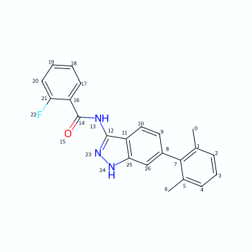 Cc1cccc(C)c1-c1ccc2c(NC(=O)c3ccccc3F)n[nH]c2c1